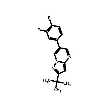 CC(C)(C)c1cc2ncc(-c3ccc(F)c(F)c3)cn2n1